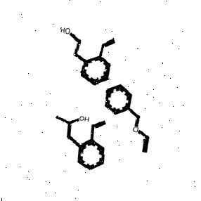 C=COCc1ccccc1.C=Cc1ccccc1CC(C)O.C=Cc1ccccc1CCO